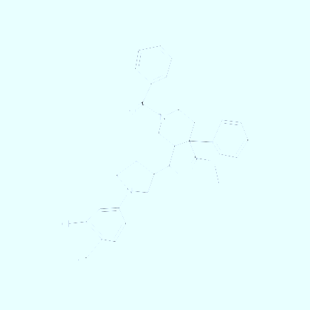 COC(=O)C1(c2ccccc2)CCN(C(=O)c2ccccc2)CC1C(C)C1CCN(c2ccc(Cl)c(Cl)c2)C1